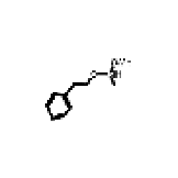 CO[SiH](C)OCCc1ccccc1